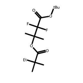 CCC(C)(C)C(=O)OC(C)(C)C(F)(F)C(=O)OC(C)(C)C